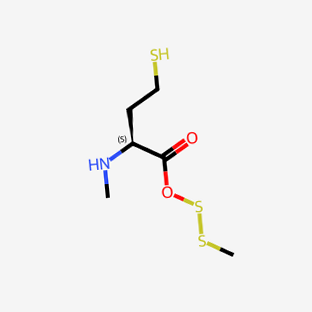 CN[C@@H](CCS)C(=O)OSSC